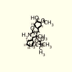 COc1cc(CN(C(N)=O)[C@](C)(Cc2ccccc2)OC(=O)C(C)(C)C)ccc1O